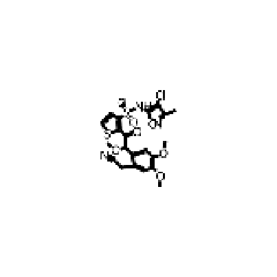 COc1cc(CC#N)c(C(OC)C(=O)c2sccc2S(=O)(=O)Nc2onc(C)c2Cl)cc1OC